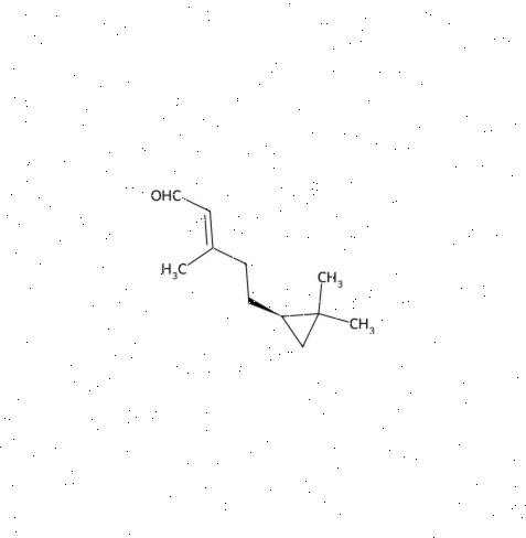 C/C(=C\C=O)CC[C@@H]1CC1(C)C